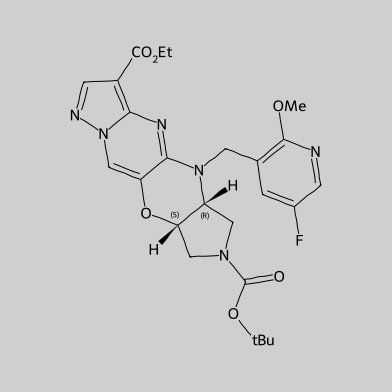 CCOC(=O)c1cnn2cc3c(nc12)N(Cc1cc(F)cnc1OC)[C@@H]1CN(C(=O)OC(C)(C)C)C[C@@H]1O3